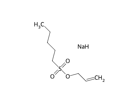 C=CCOS(=O)(=O)CCCCC.[NaH]